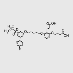 CC(C)S(=O)(=O)c1cc(OCCCCCCc2cccc(OCCCC(=O)O)c2CCC(=O)O)cc(-c2ccc(F)cc2)c1